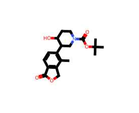 Cc1c(C2CN(C(=O)OC(C)(C)C)CCC2O)ccc2c1COC2=O